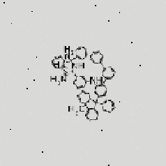 CC(N)(NC(c1cccc(Nc2cc(C3(c4ccccc4)c4ccccc4C4(C)C=CC=CC43)ccc2-c2cccc(-c3ccccc3)c2)c1)[C@@H](N)c1ccccc1)c1ccccc1